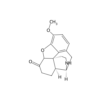 COc1ccc2c3c1OC1C(=O)CC[C@@H]4[C@H](C2)NCC[C@@]314